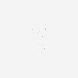 C=CC(NCc1ccccc1)c1ccccc1